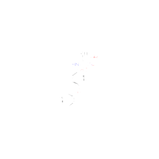 CC(Nc1ccc(Oc2ccccc2)cc1)P(=O)(O)O